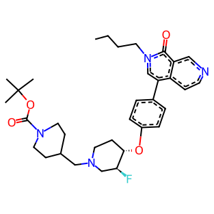 CCCCn1cc(-c2ccc(O[C@H]3CCN(CC4CCN(C(=O)OC(C)(C)C)CC4)C[C@@H]3F)cc2)c2ccncc2c1=O